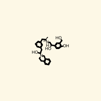 C[C@H](Cc1cccc(CC(O)N2CCc3ccccc3C2)c1)NC[C@H](O)c1ccc(O)c(CO)c1